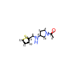 CC(=O)N1CCC(NCc2cccs2)C1